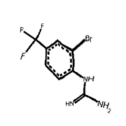 N=C(N)Nc1ccc(C(F)(F)F)cc1Br